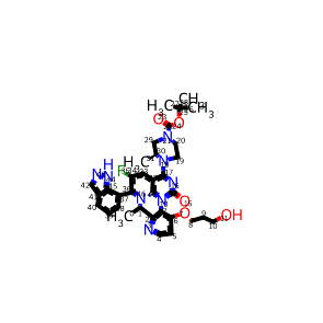 CC1c2nccc(OCCCO)c2-n2c(=O)nc(N3CCN(C(=O)OC(C)(C)C)C[C@@H]3C)c3cc(F)c(-c4cccc5cn[nH]c45)[n+]1c32